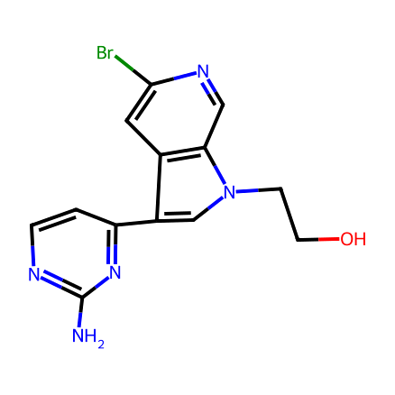 Nc1nccc(-c2cn(CCO)c3cnc(Br)cc23)n1